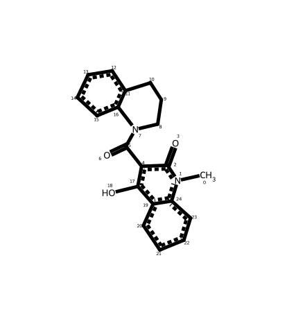 Cn1c(=O)c(C(=O)N2CCCc3ccccc32)c(O)c2ccccc21